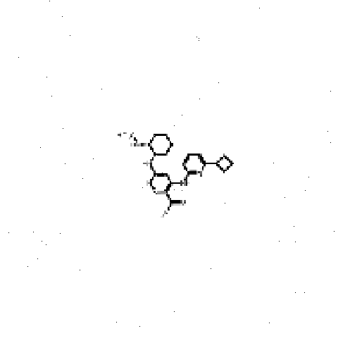 NC(=O)c1nnc(N[C@@H]2CCCC[C@@H]2NC(=O)O)cc1Nc1cccc(C2CCC2)n1